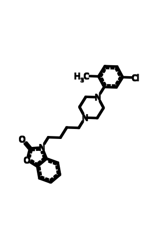 Cc1ccc(Cl)cc1N1CCN(CCCCn2c(=O)oc3ccccc32)CC1